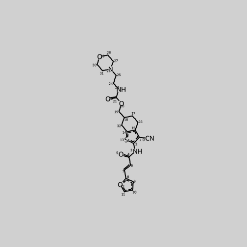 N#Cc1c(NC(=O)C=Cc2ccco2)sc2c1CCC(COC(=O)NCCN1CCOCC1)C2